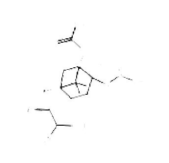 CC(C)CC(N)C(=O)O.CC1(C)[C@H]2CC[C@](C)(OBO)[C@]1(OC(=O)C(F)(F)F)C2